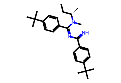 CC[C@H](C)N(C)/C(=N\C(=N)c1ccc(C(C)(C)C)cc1)c1ccc(C(C)(C)C)cc1